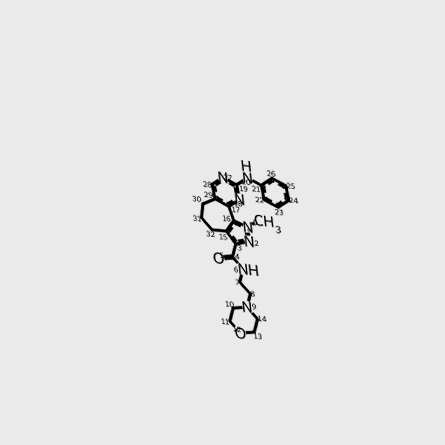 Cn1nc(C(=O)NCCN2CCOCC2)c2c1-c1nc(Nc3ccccc3)ncc1CCC2